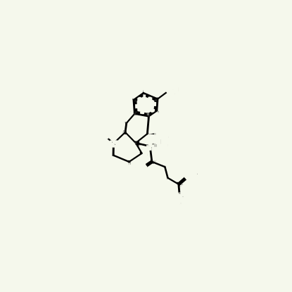 C[C@@H]1c2cc(O)ccc2CC2N(C)CCCC21N(C)C(=O)CCC(=O)O